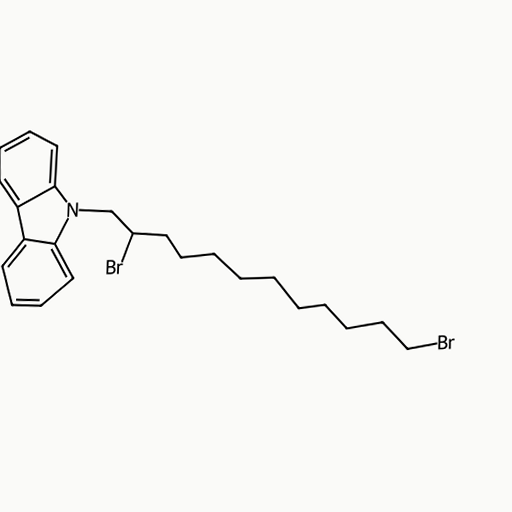 BrCCCCCCCCCCC(Br)Cn1c2ccccc2c2ccccc21